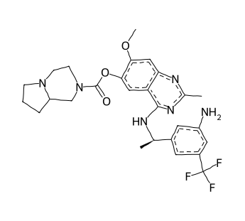 COc1cc2nc(C)nc(N[C@H](C)c3cc(N)cc(C(F)(F)F)c3)c2cc1OC(=O)N1CCN2CCCC2C1